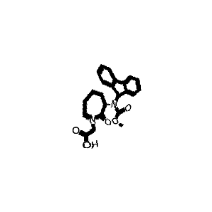 COC(=O)N(C1c2ccccc2-c2ccccc21)[C@H]1CCCCN(CC(=O)O)C1=O